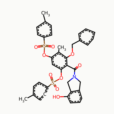 Cc1ccc(S(=O)(=O)Oc2cc(OS(=O)(=O)c3ccc(C)cc3)c(C(=O)N3Cc4cccc(O)c4C3)c(OCc3ccccc3)c2C)cc1